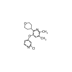 Cc1cc(Oc2ccnc(Cl)c2)c(C2CCOCC2)nc1C